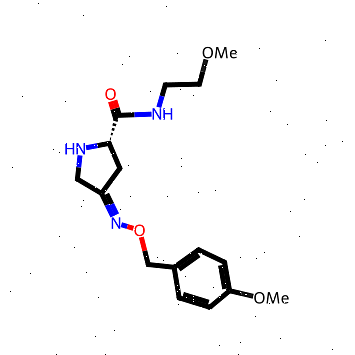 COCCNC(=O)[C@@H]1C/C(=N\OCc2ccc(OC)cc2)CN1